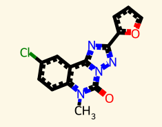 Cn1c(=O)n2nc(-c3ccco3)nc2c2cc(Cl)ccc21